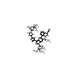 COc1cc2c(nc1-c1cccc3c1CCC3C#N)c(-c1cnn(C3CCN(C(=O)OC(C)(C)C)C3)c1)nn2C(=O)OC(C)(C)C